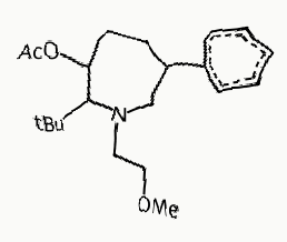 COCCN1CC(c2ccccc2)CCC(OC(C)=O)C1C(C)(C)C